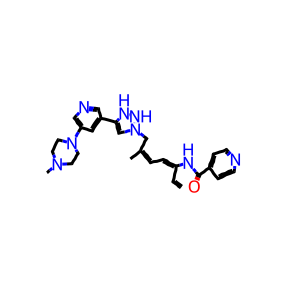 C=C/C(=C\C=C(\C)CN1C=C(c2cncc(N3CCN(C)CC3)c2)NN1)NC(=O)c1ccncc1